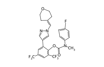 CN(C(=O)Oc1c(-c2cnn(C=C3CCOCC3)c2)cc(C(F)(F)F)cc1C(F)(F)F)c1ccc(F)cc1